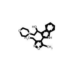 CCc1noc(C)c1-c1[nH]c2ccccc2c1C(O)CN1CCOCC1